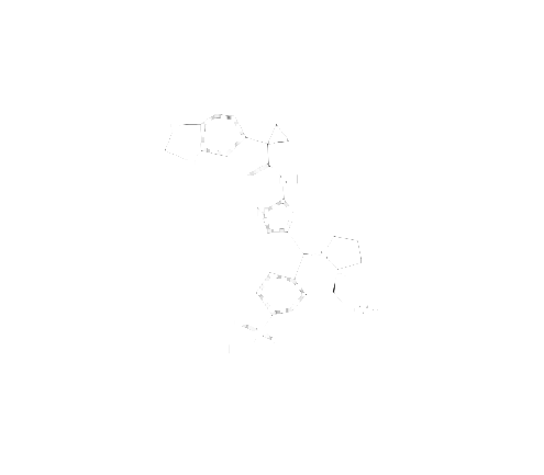 COC[C@@H]1CCCN1C(c1ccc(S(C)(=O)=O)cc1)c1cnc(NC(=O)C2(c3ccc4c(c3)OCO4)CC2)s1